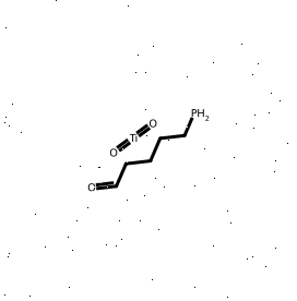 O=CCCCCP.[O]=[Ti]=[O]